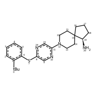 CC(C)(C)c1ccccc1Sc1cnc(N2CCC3(CCC[C@H]3N)CC2)cn1